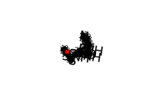 Cc1c(NC(=O)c2sccc2-c2cc3c(s2)C2CCC3C2)ccc(F)c1-c1c[nH]c(=O)c(Nc2ccc(N3CCN(C)CC3)cc2)n1